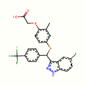 Cc1cc(SC(c2ccc(C(F)(F)F)cc2)c2n[nH]c3ccc(F)cc23)ccc1OCC(=O)O